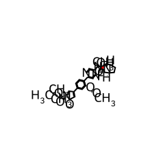 COCOc1cc(C2=CC(=O)N(C(=O)OC(C)(C)C)C2)ccc1-c1cnc(N(C)[C@@H]2C[C@H]3CC[C@@H]([C@@H]2F)N3C(=O)O)cn1